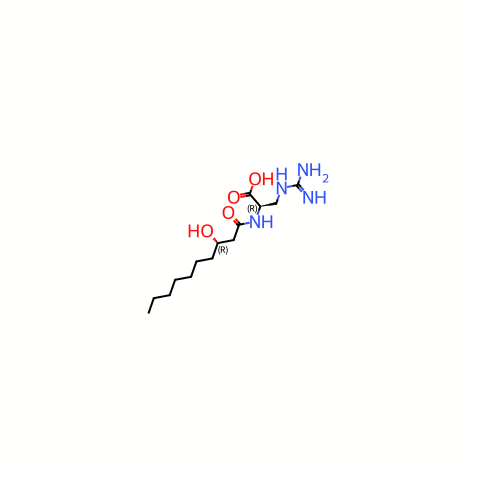 CCCCCCC[C@@H](O)CC(=O)N[C@H](CNC(=N)N)C(=O)O